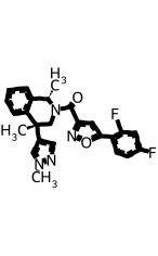 C[C@H]1c2ccccc2[C@@](C)(c2cnn(C)c2)CN1C(=O)c1cc(-c2ccc(F)cc2F)on1